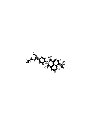 CCN(CCBr)c1ccc(N2C(=O)c3cccc4c([N+](=O)[O-])ccc(c34)C2=O)cc1